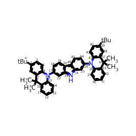 CC(C)(C)c1ccc2c(c1)C(C)(C)c1ccccc1N2c1ccc2c(c1)[nH]c1cc(N3c4ccccc4C(C)(C)c4cc(C(C)(C)C)ccc43)ccc12